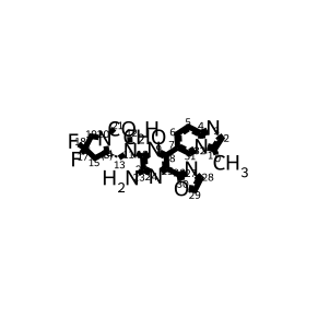 Cc1cnc2ccc(-c3nc(N(C=O)C[C@@H]4CC(F)(F)CN4C(=O)O)c(N)nc3-c3ncco3)cn12